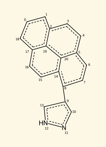 c1cc2ccc3ccc(-c4cn[nH]c4)c4ccc(c1)c2c34